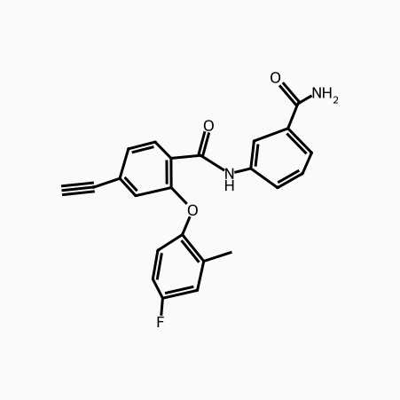 C#Cc1ccc(C(=O)Nc2cccc(C(N)=O)c2)c(Oc2ccc(F)cc2C)c1